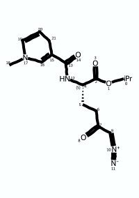 CC(C)OC(=O)[C@H](CCC(=O)C=[N+]=[N-])NC(=O)C1=CN(C)C=CC1